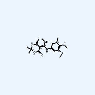 CNC(NC1=CC(OC)=C(OC)C(C)C1)=C1C(=O)OC(C)(C)OC1=O